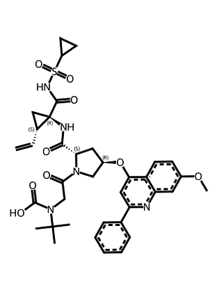 C=C[C@@H]1C[C@]1(NC(=O)[C@@H]1C[C@@H](Oc2cc(-c3ccccc3)nc3cc(OC)ccc23)CN1C(=O)CN(C(=O)O)C(C)(C)C)C(=O)NS(=O)(=O)C1CC1